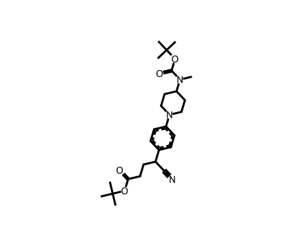 CN(C(=O)OC(C)(C)C)C1CCN(c2ccc(C(C#N)CCC(=O)OC(C)(C)C)cc2)CC1